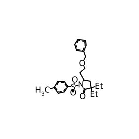 CCC1(CC)CC(CCOCc2ccccc2)N(S(=O)(=O)c2ccc(C)cc2)C1=O